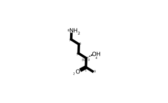 CC(=O)[C@@H](O)CCCN